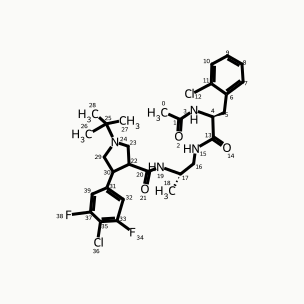 CC(=O)N[C@@H](Cc1ccccc1Cl)C(=O)NC[C@H](C)NC(=O)C1CN(C(C)(C)C)CC1c1cc(F)c(Cl)c(F)c1